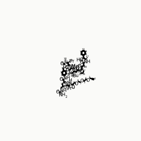 C#CCOCCOCCOCC(=O)N[C@H](C(=O)N[C@@H](CCCNC(N)=O)C(=O)Nc1ccc(COC(=O)N(C)[C@H](C(=O)N[C@H](C(=O)N(C)[C@@H]([C@@H](C)CC)[C@@H](CC(=O)N2CCC[C@H]2[C@H](OC)[C@@H](C)C(=O)N[C@H](C)[C@@H](O)c2ccccc2)OC)C(C)C)C(C)C)cc1)C(C)C